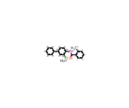 Cc1ccccc1C(=O)Pc1ccc(-c2ccccc2)cc1Cl.[LiH]